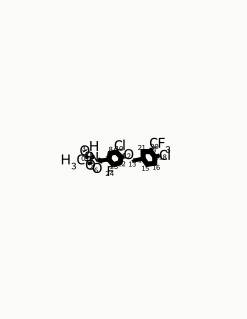 CS(=O)(=O)NC(=O)c1cc(Cl)c(OCc2ccc(Cl)c(C(F)(F)F)c2)cc1F